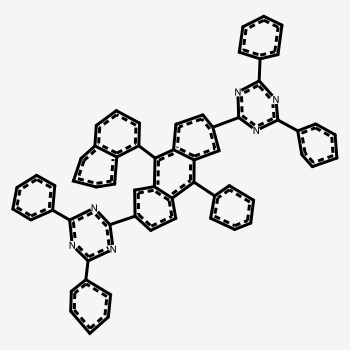 c1ccc(-c2nc(-c3ccccc3)nc(-c3ccc4c(-c5cccc6ccccc56)c5cc(-c6nc(-c7ccccc7)nc(-c7ccccc7)n6)ccc5c(-c5ccccc5)c4c3)n2)cc1